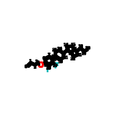 C=CCCOc1ccc(C2=CCC(C3=CCC4C(CCC)CCC34)CC2)c(F)c1F